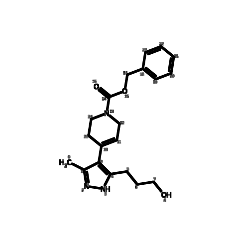 Cc1n[nH]c(CCCO)c1C1=CCN(C(=O)OCc2ccccc2)CC1